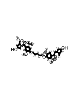 COC(=O)C1CC(O)CN1C(=O)c1cc(OC)c(OCCCCCOc2cc([N+](=O)[O-])c(C(=O)CC3CC(O)CC3C)cc2OC)cc1[N+](=O)[O-]